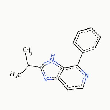 CC(C)c1nc2ccnc(-c3ccccc3)c2[nH]1